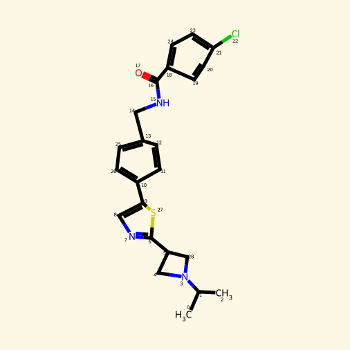 CC(C)N1CC(c2ncc(-c3ccc(CNC(=O)c4ccc(Cl)cc4)cc3)s2)C1